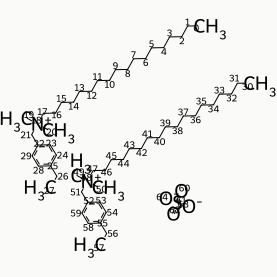 CCCCCCCCCCCCCCCCCC[N+](C)(C)Cc1ccc(CC)cc1.CCCCCCCCCCCCCCCCCC[N+](C)(C)Cc1ccc(CC)cc1.O=S(=O)([O-])[O-]